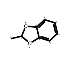 CC1Oc2c[c]ccc2O1